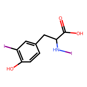 O=C(O)C(Cc1ccc(O)c(I)c1)NI